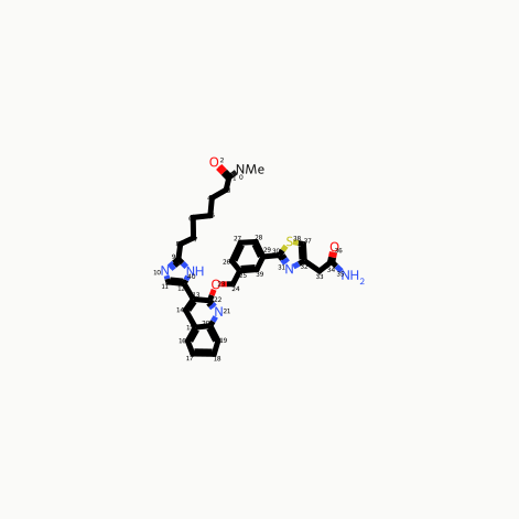 CNC(=O)CCCCCCc1ncc(-c2cc3ccccc3nc2OCc2cccc(-c3nc(CC(N)=O)cs3)c2)[nH]1